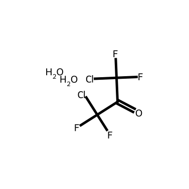 O.O.O=C(C(F)(F)Cl)C(F)(F)Cl